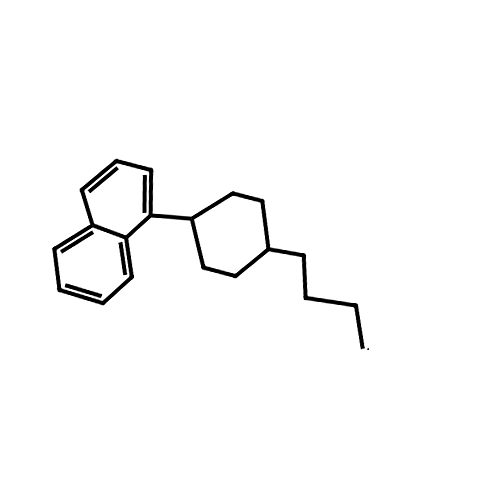 [CH2]CCCC1CCC(c2cccc3ccccc23)CC1